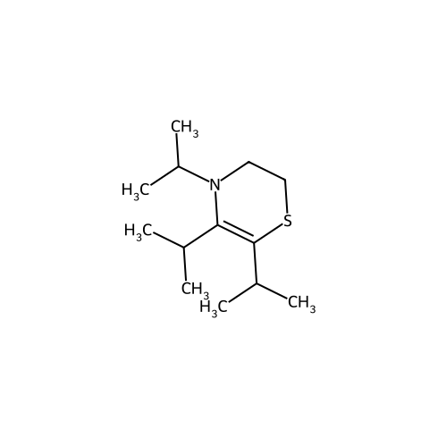 CC(C)C1=C(C(C)C)N(C(C)C)CCS1